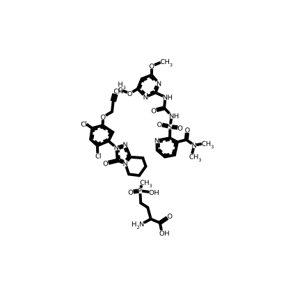 C#CCOc1cc(-n2nc3n(c2=O)CCCC3)c(Cl)cc1Cl.COc1cc(OC)nc(NC(=O)NS(=O)(=O)c2ncccc2C(=O)N(C)C)n1.CP(=O)(O)CCC(N)C(=O)O